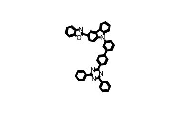 C1=CC(c2nc(-c3ccccc3)nc(-c3ccc(-c4cccc(-n5c6ccccc6c6cc(-c7nc8ccccc8o7)ccc65)c4)cc3)n2)=CCC1